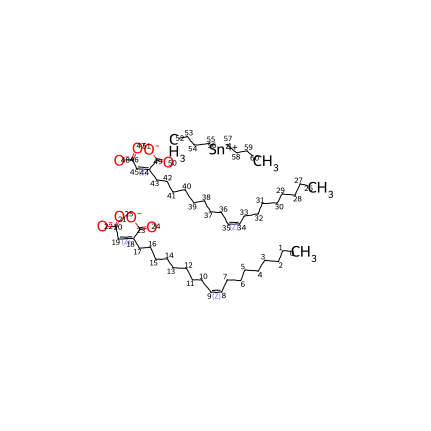 CCCCCCCC/C=C\CCCCCCCC/C(=C/C(=O)[O-])C(=O)[O-].CCCCCCCC/C=C\CCCCCCCC/C(=C/C(=O)[O-])C(=O)[O-].CCC[CH2][Sn+4][CH2]CCC